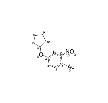 CC(=O)c1ccc(OC2CCCC2)cc1[N+](=O)[O-]